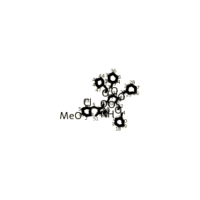 COc1ccc(Cc2c(O[C@@H]3O[C@H](COCc4ccccc4)[C@@H](OCc4ccccc4)[C@H](OCc4ccccc4)[C@H]3OCc3ccccc3)n[nH]c2C)c(Cl)c1